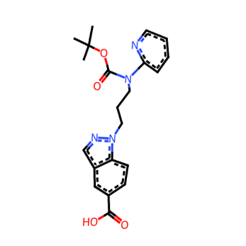 CC(C)(C)OC(=O)N(CCCn1ncc2cc(C(=O)O)ccc21)c1ccccn1